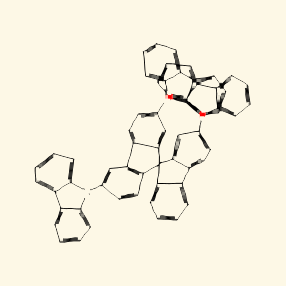 c1ccc2c(c1)-c1ccc(-n3c4ccccc4c4ccccc43)cc1C21c2ccc(-n3c4ccccc4c4ccccc43)cc2-c2ccc(-n3c4ccccc4c4ccccc43)cc21